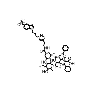 CC1CC(C(=O)NCCc2cn(CCCn3ccc4cc([N+](=O)[O-])ccc43)nn2)C[C@@H](O[C@@H]2OC(CO)[C@H](O)C(O[C@@H](CC3CCCCC3)C(=O)O)C2OC(=O)c2ccccc2)C1O[C@@H]1OC(C)[C@@H](O)C(O)C1O